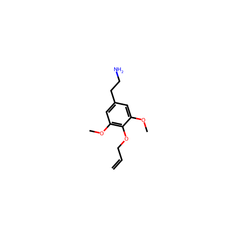 C=CCOc1c(OC)cc(CCN)cc1OC